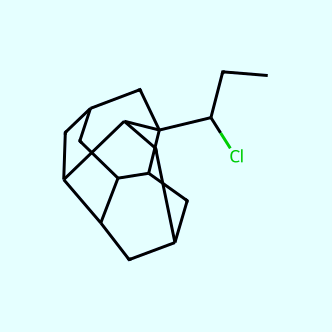 CCC(Cl)C12CC3CC4C5CC(CC41)CC2C5C3